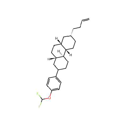 C=CCC[C@@H]1CC[C@H]2[C@H](CC[C@H]3CC(c4ccc(OC(F)F)cc4)CC[C@@H]32)C1